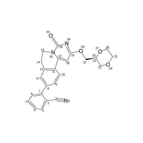 N#Cc1ccccc1-c1ccc2c(c1)CCn1c-2cc(OC[C@@H]2COCCO2)nc1=O